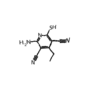 CCc1c(C#N)c(N)nc(S)c1C#N